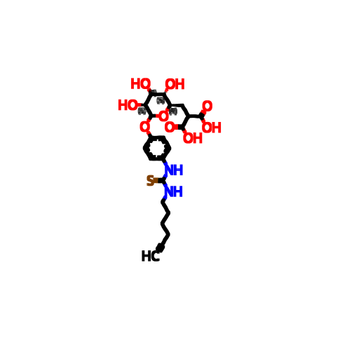 C#CCCCCNC(=S)Nc1ccc(OC2O[C@H](CC(C(=O)O)C(=O)O)[C@@H](O)[C@H](O)[C@@H]2O)cc1